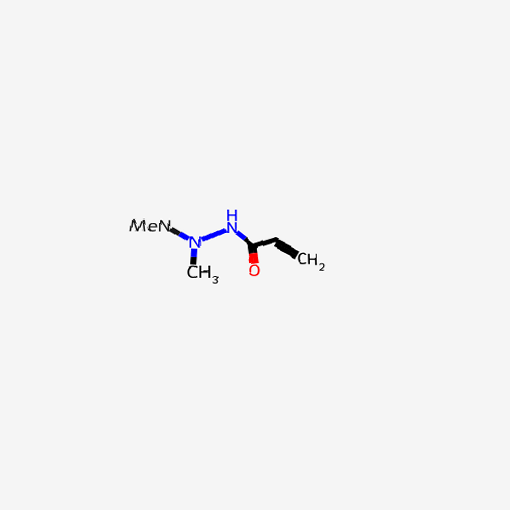 C=CC(=O)NN(C)NC